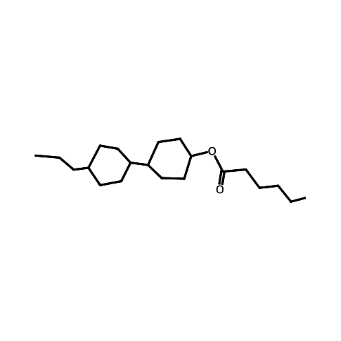 CCCCCC(=O)OC1CCC(C2CCC(CCC)CC2)CC1